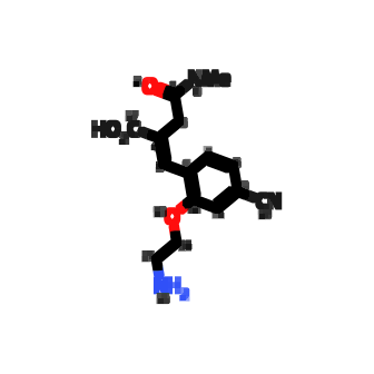 CNC(=O)CC(=Cc1ccc(C#N)cc1OCCN)C(=O)O